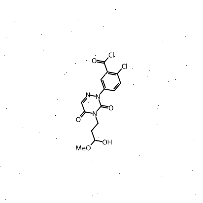 COC(O)CCn1c(=O)cnn(-c2ccc(Cl)c(C(=O)Cl)c2)c1=O